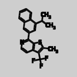 Cc1sc2c(-c3cc(C(C)C)c4ccccc4c3)nccc2c1C(F)(F)F